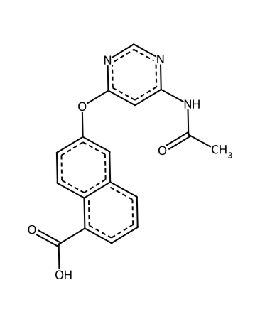 CC(=O)Nc1cc(Oc2ccc3c(C(=O)O)cccc3c2)ncn1